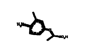 Cc1cc(OC(C)S(=O)(=O)O)ccc1N